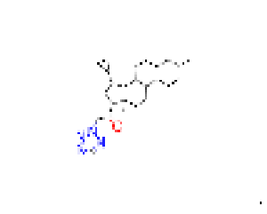 CC1CCC2C(CCC3C2CCC2(C)C(C(=O)Cn4ncnn4)CC(C4CC4)C32)C1